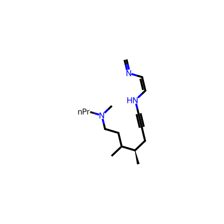 C=N/C=C\NC#CC[C@@H](C)C(C)CCN(C)CCC